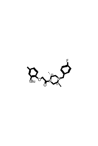 Cc1ccc(OCC(=O)N2C[C@H](C)N(Cc3ccc(F)cc3)C[C@H]2C)c(C(C)(C)C)c1